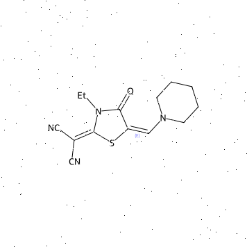 CCn1c(=C(C#N)C#N)s/c(=C/N2CCCCC2)c1=O